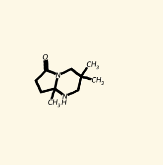 CC1(C)CNC2(C)CCC(=O)N2C1